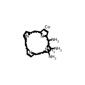 Nc1c(N)c2c(N)c3nc(cc4ccc(cc5nc(cc1n2N)C=C5)[nH]4)C=C3.[Co]